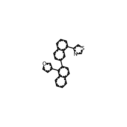 c1cc(-c2cscn2)c2cc(-c3ccc4ccccc4c3-c3ccoc3)ccc2c1